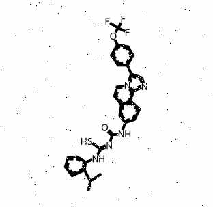 CC(C)c1ccccc1NC(S)=NC(=O)Nc1ccc2c(ccn3c(-c4ccc(OC(F)(F)F)cc4)cnc23)c1